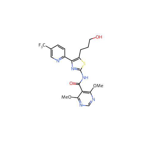 COc1ncnc(OC)c1C(=O)Nc1nc(-c2ccc(C(F)(F)F)cn2)c(CCCO)s1